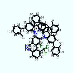 Cc1ccccc1-c1ccc2c3ccc(-c4ccccc4C)cc3n(-c3cc(C#N)c(-c4c(C#N)cccc4C(F)(F)F)cc3-n3c4cc(-c5ccccc5C)ccc4c4ccc(-c5ccccc5C)cc43)c2c1